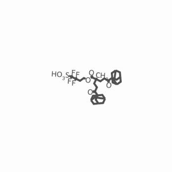 CC(CCC(=O)C12CC3CC(CC(C3)C1)C2)(CCC(=O)C12CC3CC(CC(C3)C1)C2)C(=O)OCCC(F)(F)C(F)(F)S(=O)(=O)O